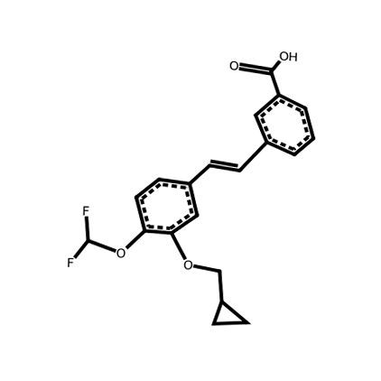 O=C(O)c1cccc(C=Cc2ccc(OC(F)F)c(OCC3CC3)c2)c1